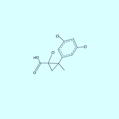 CC1(c2cc(Cl)cc(Cl)c2)CC1(Cl)C(=O)O